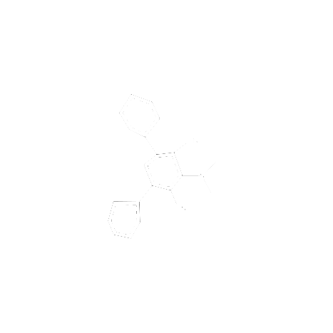 CCN(CC)c1c(C#N)c(-c2ccccc2)cc(-c2ccccc2)c1C#N